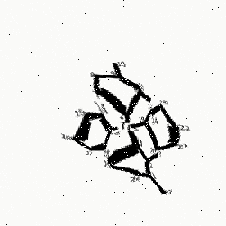 CC1=C(C)[C]([Ti]([C]2=CCC(C)=C2C)([c]2ccccc2)[c]2ccccc2)=CC1